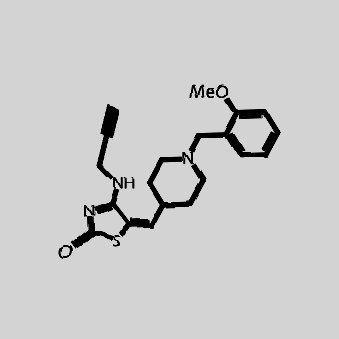 C#CCNC1=NC(=O)SC1=CC1CCN(Cc2ccccc2OC)CC1